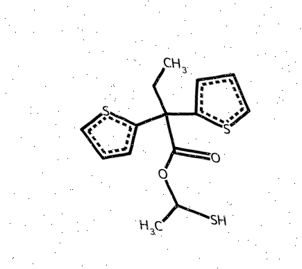 CCC(C(=O)OC(C)S)(c1cccs1)c1cccs1